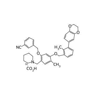 Cc1cc(CN2CCCC[C@H]2C(=O)O)c(OCc2cccc(C#N)c2)cc1OCc1cccc(-c2ccc3c(c2)OCCO3)c1C